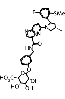 CSc1ccc(F)cc1[C@H]1C[C@H](F)CN1c1ccc2ncc(C(=O)NCc3cccc(O[C@@H]4O[C@H](C(=O)O)[C@@H](O)[C@H](O)[C@H]4O)c3)n2n1